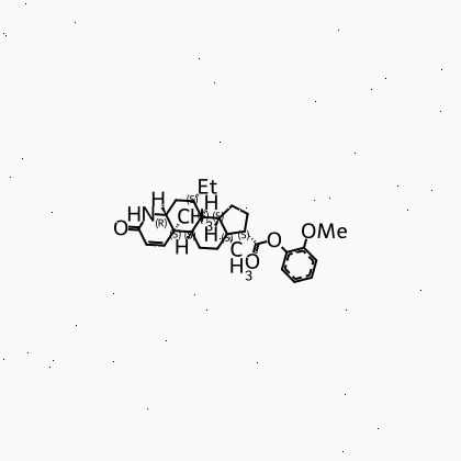 CC[C@H]1C[C@H]2NC(=O)C=C[C@]2(C)[C@H]2CC[C@]3(C)[C@@H](C(=O)Oc4ccccc4OC)CC[C@H]3[C@H]12